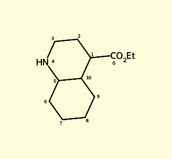 CCOC(=O)C1CCNC2CCCCC21